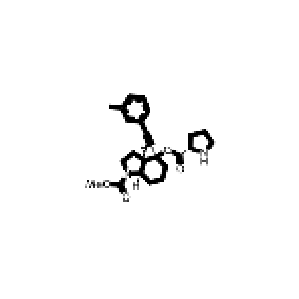 COC(=O)N1CC[C@@H]2[C@H]1CCC[C@]2(C#Cc1cccc(C)c1)OC(=O)[C@@H]1CCCN1